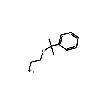 CC(C)(OCCN)c1ccccc1